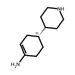 NC1=CC[C@H](C2CCNCC2)CC1